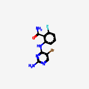 NC(=O)c1c(F)cccc1Nc1nc(N)ncc1Br